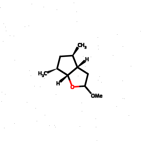 COC1C[C@@H]2[C@H](O1)[C@H](C)C[C@H]2C